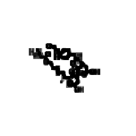 C[C@H](CSSCCOC(=O)NN)NC(=O)[C@H](CC(=O)O)NC(=O)[C@H](CC(=O)O)NC(=O)Cc1ccc(NC=O)cc1